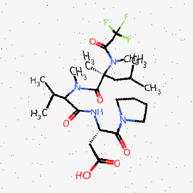 CC(C)C[C@@](C)(C(=O)N(C)C(C(=O)N[C@@H](CC(=O)O)C(=O)N1CCCC1)C(C)C)N(C)C(=O)C(F)(F)F